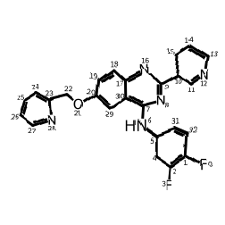 FC1=C(F)CC(Nc2nc(C3C=NC=CC3)nc3ccc(OCc4ccccn4)cc23)C=C1